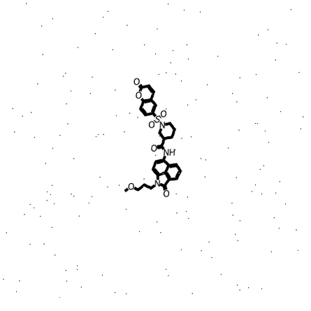 COCCCN1C(=O)c2cccc3c(NC(=O)C4CCCN(S(=O)(=O)c5ccc6oc(=O)ccc6c5)C4)ccc1c23